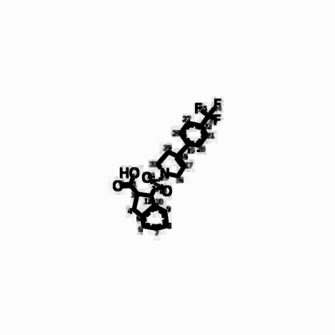 O=C(O)C1Cc2ccccc2C1S(=O)(=O)N1CC=C(c2ccc(C(F)(F)F)cc2)CC1